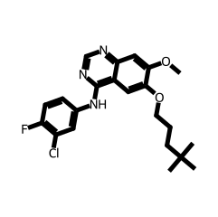 COc1cc2ncnc(Nc3ccc(F)c(Cl)c3)c2cc1OCCCC(C)(C)C